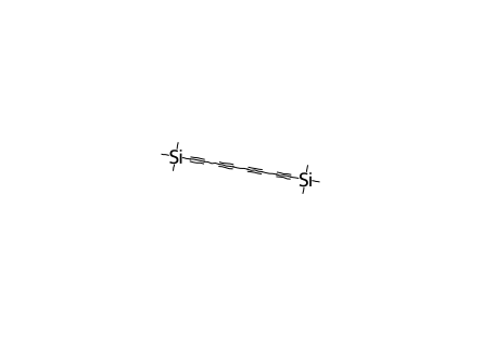 C[Si](C)(C)C#CC#CC#CC#C[Si](C)(C)C